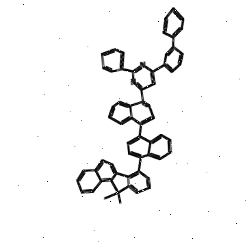 CC1(C)c2cccc(-c3ccc(-c4ccc(-c5cc(-c6cccc(-c7ccccc7)c6)nc(-c6ccccc6)n5)c5ccccc45)c4ccccc34)c2-c2ccc3ccccc3c21